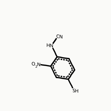 N#CNc1ccc(S)cc1[N+](=O)[O-]